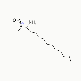 CCCCCCCCCCCC(N)/C(C)=N/O